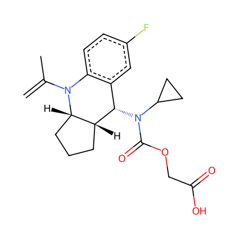 C=C(C)N1c2ccc(F)cc2[C@H](N(C(=O)OCC(=O)O)C2CC2)[C@@H]2CCC[C@@H]21